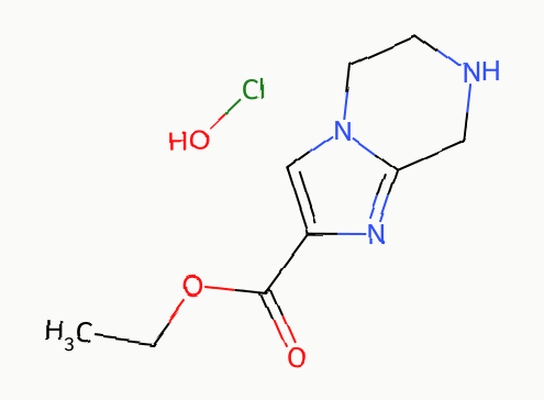 CCOC(=O)c1cn2c(n1)CNCC2.OCl